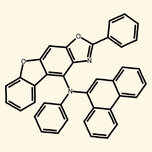 c1ccc(-c2nc3c(N(c4ccccc4)c4cc5ccccc5c5ccccc45)c4c(cc3o2)oc2ccccc24)cc1